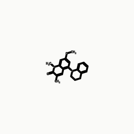 COc1cc(N2CCCc3ccccc32)c2cc(C)c(=O)n(C)c2c1